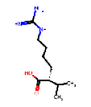 CC(C)[C@@H](CCCCNC(=N)N)C(=O)O